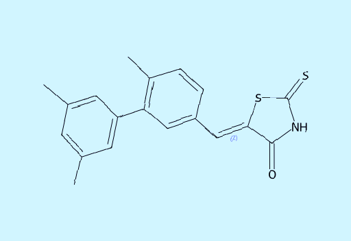 Cc1cc(C)cc(-c2cc(/C=C3\SC(=S)NC3=O)ccc2C)c1